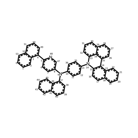 c1ccc2c(-c3ccc(N(c4ccc(N5c6ccc7ccccc7c6-c6cccc7cccc5c67)cc4)c4cccc5ccccc45)cn3)cccc2c1